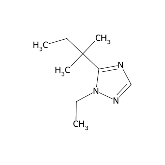 CCn1ncnc1C(C)(C)CC